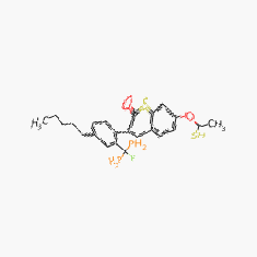 CCCCCc1ccc(-c2cc3ccc(OC(C)S)cc3sc2=O)c(C(F)(P)P)c1